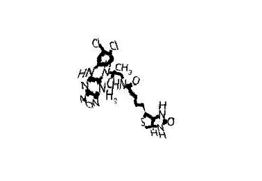 CC(C)(CNC(=O)CCCC[C@@H]1SC[C@@H]2NC(=O)NC21)Nc1nc2nonc2nc1Nc1ccc(Cl)c(Cl)c1